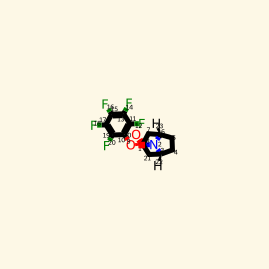 O=CN1[C@@H]2CC[C@H]1C[C@H](Oc1c(F)c(F)c(F)c(F)c1F)C2